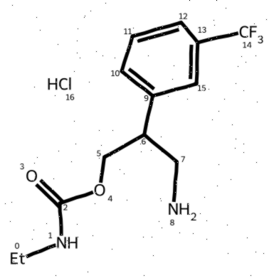 CCNC(=O)OCC(CN)c1cccc(C(F)(F)F)c1.Cl